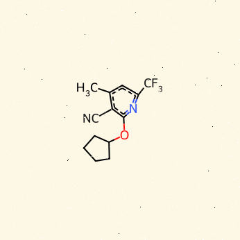 Cc1cc(C(F)(F)F)nc(OC2CCCC2)c1C#N